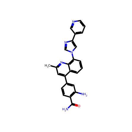 Cc1cc(-c2ccc(C(N)=O)c(N)c2)c2cccc(-n3cnc(-c4cccnc4)c3)c2n1